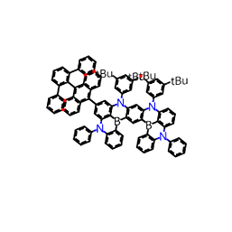 CC(C)(C)c1cc(N2c3cc4c(cc3B3c5ccccc5N(c5ccccc5)c5cccc2c53)B2c3ccccc3N(c3ccccc3)c3cc(-c5c6ccccc6c(-c6c(-c7ccccc7)cccc6-c6ccccc6)c6ccccc56)cc(c32)N4c2cc(C(C)(C)C)cc(C(C)(C)C)c2)cc(C(C)(C)C)c1